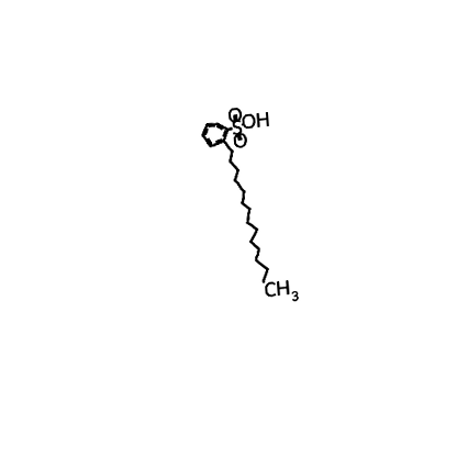 CCCCCCCCCCCCCCCc1ccccc1S(=O)(=O)O